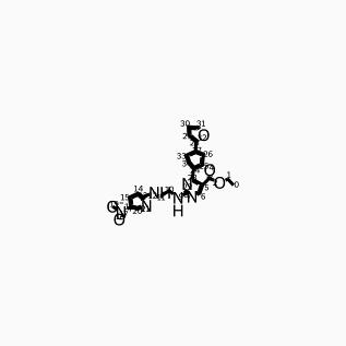 CCOC(=O)c1cnc(NCCNc2ccc([N+](=O)[O-])cn2)nc1-c1ccc(-c2ccco2)cc1